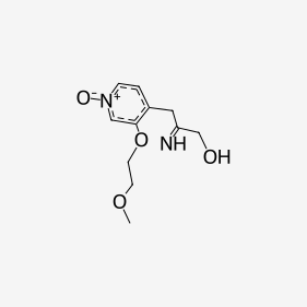 COCCOc1c[n+]([O-])ccc1CC(=N)CO